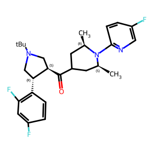 C[C@@H]1CC(C(=O)[C@@H]2CN(C(C)(C)C)C[C@H]2c2ccc(F)cc2F)C[C@H](C)N1c1ccc(F)cn1